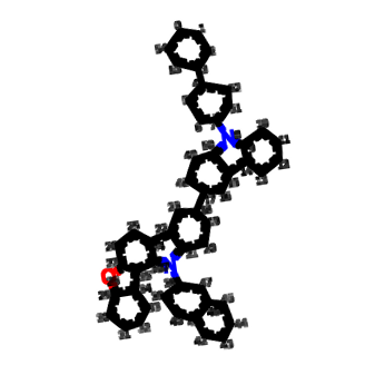 c1ccc(-c2ccc(-n3c4ccccc4c4cc(-c5ccc6c(c5)c5ccc7oc8ccccc8c7c5n6-c5ccc6ccccc6c5)ccc43)cc2)cc1